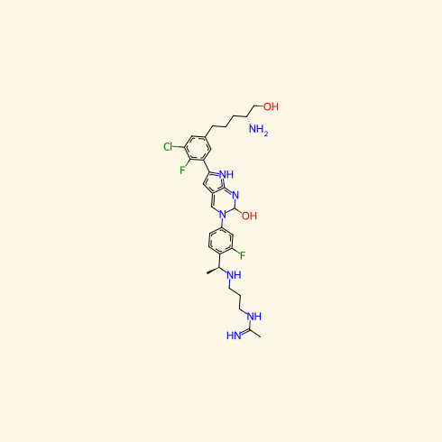 CC(=N)NCCCN[C@@H](C)c1ccc(N2C=c3cc(-c4cc(CCC[C@@H](N)CO)cc(Cl)c4F)[nH]c3=NC2O)cc1F